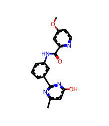 COc1ccnc(C(=O)Nc2cccc(-c3nc(C)cc(O)n3)c2)c1